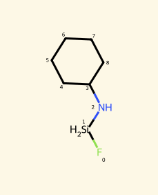 F[SiH2]NC1CCCCC1